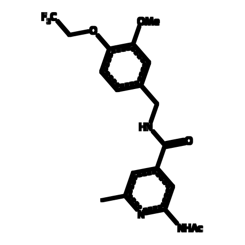 COc1cc(CNC(=O)c2cc(C)nc(NC(C)=O)c2)ccc1OCC(F)(F)F